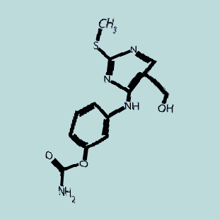 CSc1ncc(CO)c(Nc2cccc(OC(N)=O)c2)n1